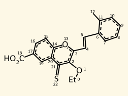 CCOc1c(/C=C/c2ccccc2C)oc2ccc(C(=O)O)cc2c1=S